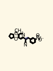 COc1cnc(/C(C#N)=C/c2cccc([N+](=O)[O-])c2)cc1OC1CCCC1